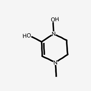 CN1C=C(O)N(O)CC1